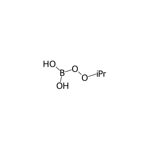 CC(C)OOB(O)O